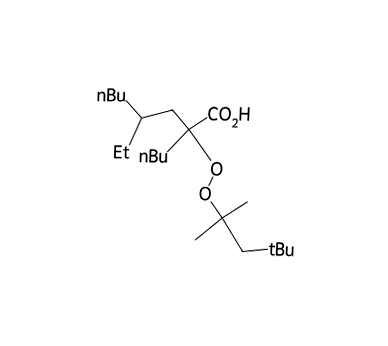 CCCCC(CC)CC(CCCC)(OOC(C)(C)CC(C)(C)C)C(=O)O